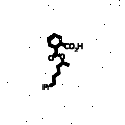 CC(C)CCCCC(C)OC(=O)C1CC=CCC1C(=O)O